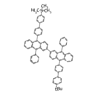 CC(C)(C)c1ccc(-c2ccc(-c3c4ccccc4c(-c4ccccc4)c4cc(-c5ccc6c(-c7ccc(-c8ccc([Si](C)(C)C)cc8)cc7)c7ccccc7c(-c7ccccc7)c6c5)ccc34)cc2)cc1